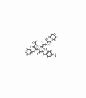 COc1ccc(C[C@H](NC(=O)[C@H](C)NC(=O)CN2CCOCC2)C(=O)N[C@@H](CC2=CCOCC2)C(=O)[C@@]2(C)CO2)cc1